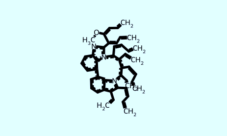 C=C/C=C\c1c(C=C)c(/C=C\C=C)n2c(C(=C/C=C)/C(=C\C=C)OC)nc3cccc(c4cccc5c(C=C)c(/C=C\C=C)n(c1C=C)c54)c32